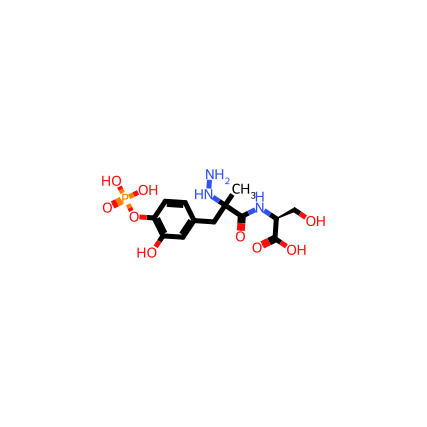 CC(Cc1ccc(OP(=O)(O)O)c(O)c1)(NN)C(=O)N[C@@H](CO)C(=O)O